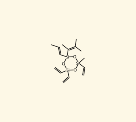 C=C[Si]1(C)O[Si](C=C)(C=C)O[Si](C=CC)(C(C)=C(C)C)O1